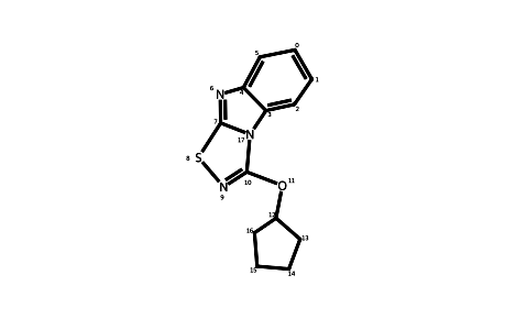 c1ccc2c(c1)nc1snc(OC3CCCC3)n12